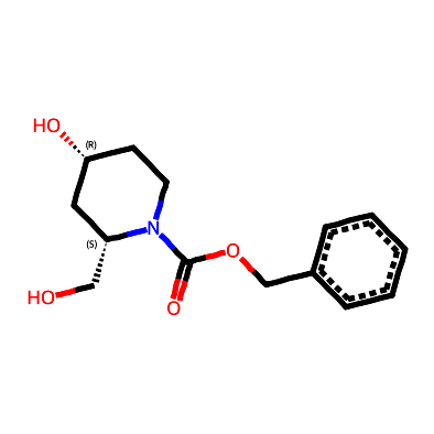 O=C(OCc1ccccc1)N1CC[C@@H](O)C[C@H]1CO